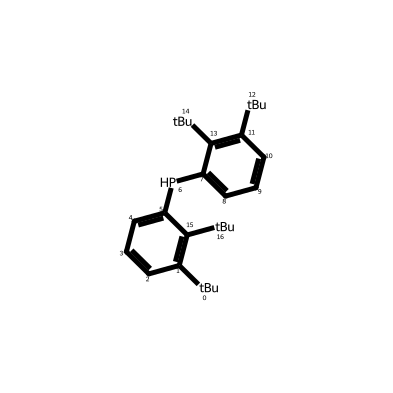 CC(C)(C)c1cccc(Pc2cccc(C(C)(C)C)c2C(C)(C)C)c1C(C)(C)C